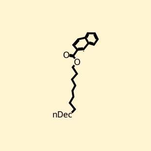 CCCCCCCCCCCCCCCCCCOC(=O)c1[c]c2ccccc2cc1